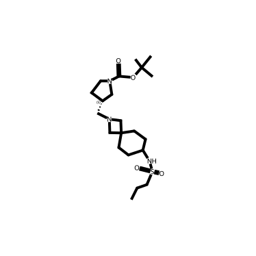 CCCS(=O)(=O)NC1CCC2(CC1)CN(C[C@@H]1CCN(C(=O)OC(C)(C)C)C1)C2